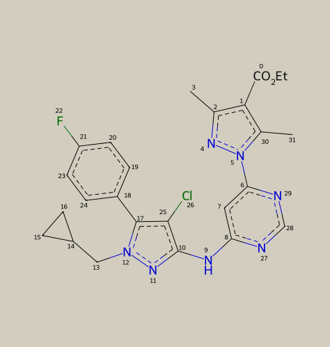 CCOC(=O)c1c(C)nn(-c2cc(Nc3nn(CC4CC4)c(-c4ccc(F)cc4)c3Cl)ncn2)c1C